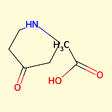 CC(=O)O.O=C1CCNCC1